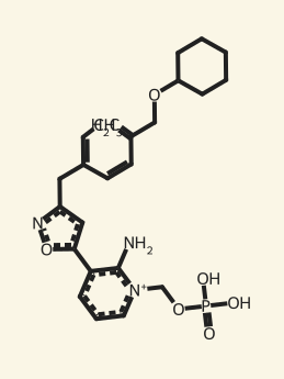 C=C(/C=C\C(=C/C)Cc1cc(-c2ccc[n+](COP(=O)(O)O)c2N)on1)COC1CCCCC1